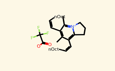 CCCCCCCC/C=C\c1c(C)c(/C=C\CCCCCCCC)c2[n+](c1C)CCC2.O=C([O-])C(F)(F)F